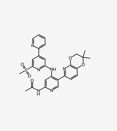 CC(=O)Nc1cc(Nc2cc(-c3ccccn3)cc(S(C)(=O)=O)n2)c(-c2ccc3c(n2)OCC(C)(C)O3)cn1